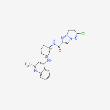 O=C(N[C@@H]1CCC[C@H](Nc2cc(C(F)(F)F)nc3ccccc23)C1)c1cn2nc(Cl)ccc2n1